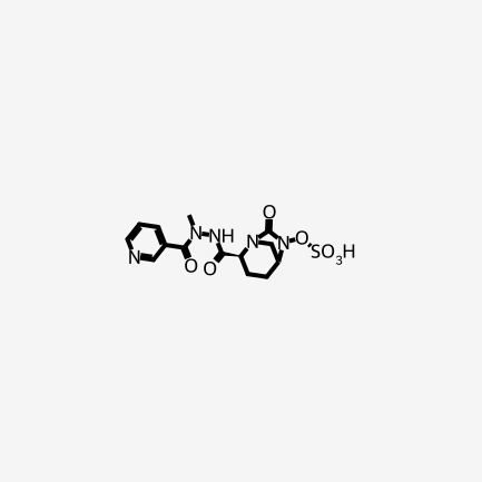 CN(NC(=O)[C@@H]1CCC2CN1C(=O)N2OS(=O)(=O)O)C(=O)c1cccnc1